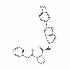 O=C(Nc1ccc2oc(-c3ccc([N+](=O)[O-])cc3)cc2c1)C1CCCN1C(=O)Cc1ccccc1